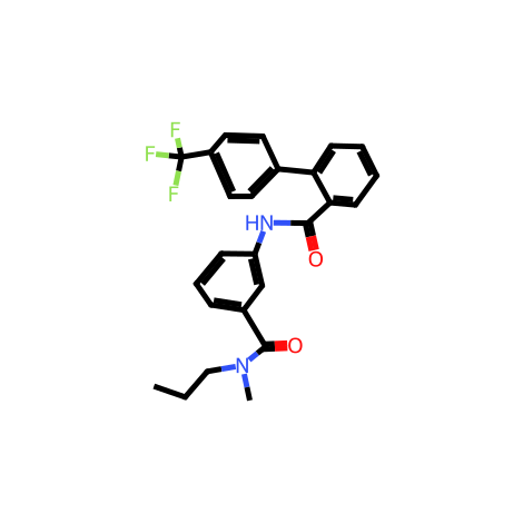 CCCN(C)C(=O)c1cccc(NC(=O)c2ccccc2-c2ccc(C(F)(F)F)cc2)c1